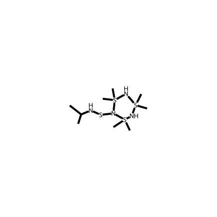 CC(C)NSN1S(C)(C)NS(C)(C)NS1(C)C